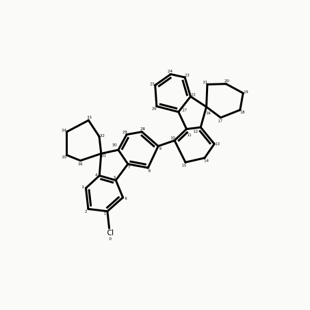 Clc1ccc2c(c1)-c1cc(C3=C4C(=CCC3)C3(CCCCC3)c3ccccc34)ccc1C21CCCCC1